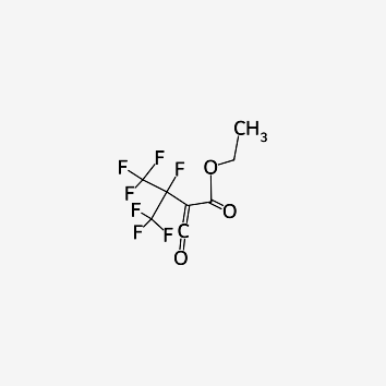 CCOC(=O)C(=C=O)C(F)(C(F)(F)F)C(F)(F)F